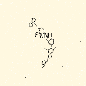 CCOCCOc1cc(C)c(-c2cccc(CNc3ccc(CCC(=O)OC)c(F)n3)c2)c(C)c1